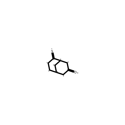 O=C1CC2CCC(=S)C(C1)C2